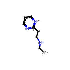 CC(C)CNCCc1ncccn1